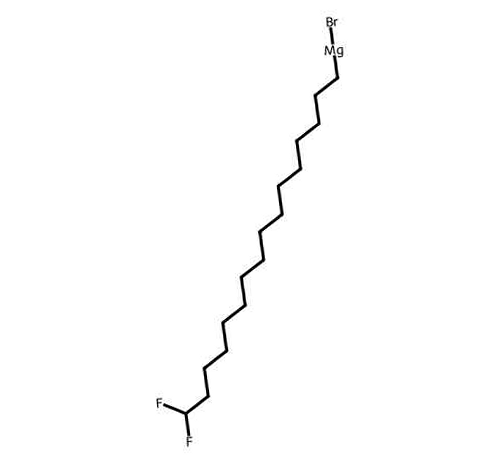 FC(F)CCCCCCCCCCCCCC[CH2][Mg][Br]